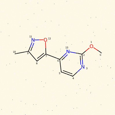 COc1nccc(-c2cc(C)no2)n1